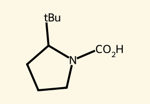 CC(C)(C)C1CCCN1C(=O)O